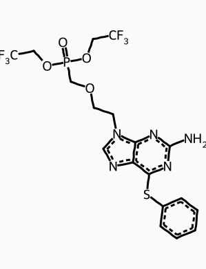 Nc1nc(Sc2ccccc2)c2ncn(CCOCP(=O)(OCC(F)(F)F)OCC(F)(F)F)c2n1